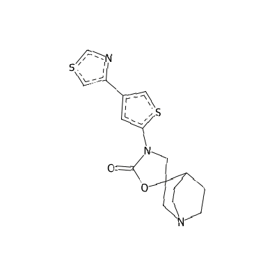 O=C1OC2(CN3CCC2CC3)CN1c1cc(-c2cscn2)cs1